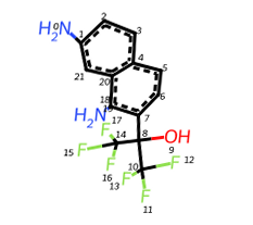 Nc1ccc2ccc(C(O)(C(F)(F)F)C(F)(F)F)c(N)c2c1